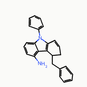 Nc1cccc2c1c1c(n2-c2ccccc2)C=CCC1Cc1ccccc1